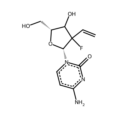 C=CC1(F)C(O)[C@@H](CO)O[C@H]1n1ccc(N)nc1=O